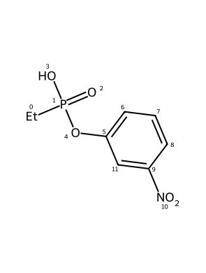 CCP(=O)(O)Oc1cccc([N+](=O)[O-])c1